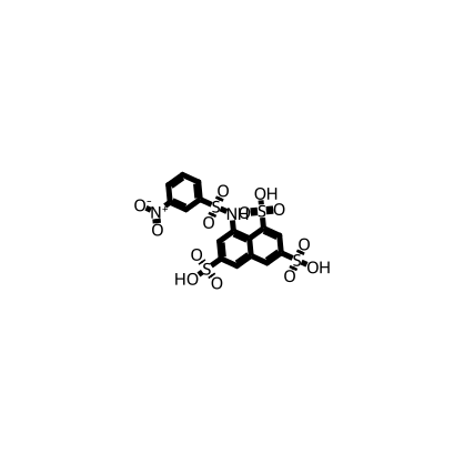 O=[N+]([O-])c1cccc(S(=O)(=O)Nc2cc(S(=O)(=O)O)cc3cc(S(=O)(=O)O)cc(S(=O)(=O)O)c23)c1